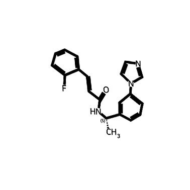 C[C@H](NC(=O)C=Cc1ccccc1F)c1cccc(-n2ccnc2)c1